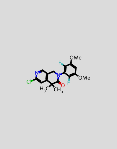 COc1cc(OC)c(F)c(N2Cc3cnc(Cl)cc3C(C)(C)C2=O)c1F